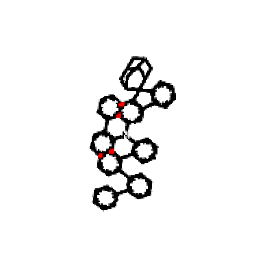 c1ccc(-c2ccccc2-c2ccccc2-c2ccccc2N(c2ccc3c(c2)-c2ccccc2C32C3CC4CC(C3)CC2C4)c2ccccc2-c2ccccc2)cc1